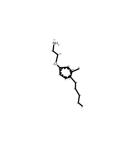 CCCCCc1ccc(OCCN)cc1C